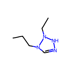 CCCN1[C]=NNN1CC